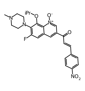 CC(C)Oc1c(N2CCN(C)CC2)c(F)cc2cc(C(=O)C=Cc3ccc([N+](=O)[O-])cc3)c[n+]([O-])c12